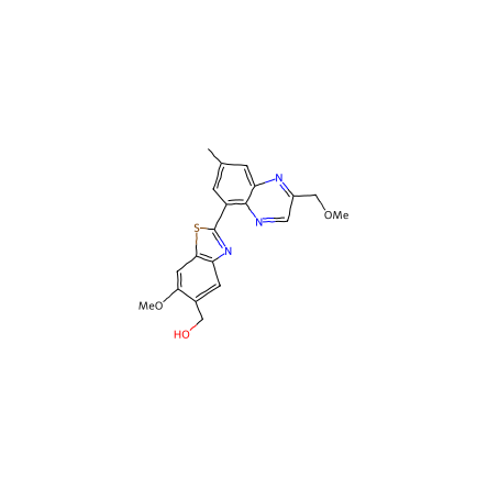 COCc1cnc2c(-c3nc4cc(CO)c(OC)cc4s3)cc(C)cc2n1